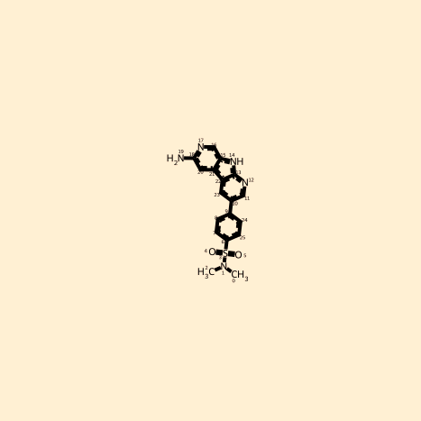 CN(C)S(=O)(=O)c1ccc(-c2cnc3[nH]c4cnc(N)cc4c3c2)cc1